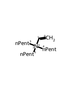 C=C[N+](CCCCC)(CCCCC)CCCCC